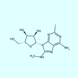 CNc1nc2c(N)nc(I)nc2n1[C@@H]1O[C@H](CO)[C@@H](O)[C@H]1O